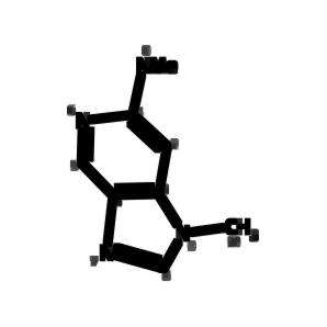 CNc1cc2c(cn1)ncn2C